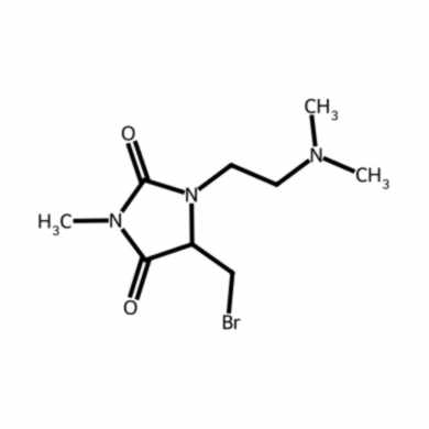 CN(C)CCN1C(=O)N(C)C(=O)C1CBr